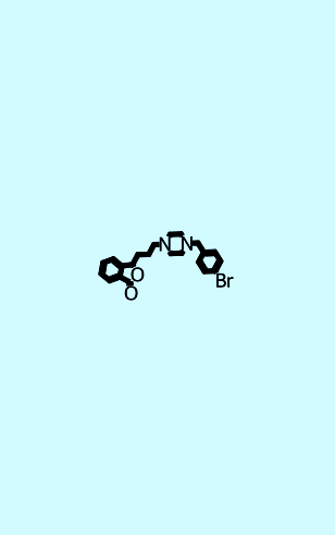 O=C1OC(CCCN2CCN(Cc3ccc(Br)cc3)CC2)c2ccccc21